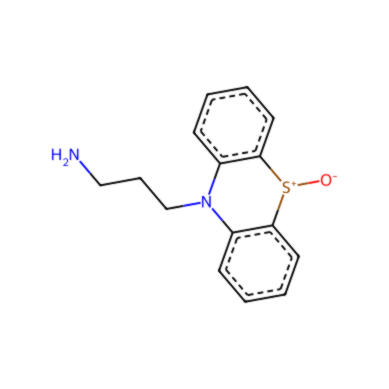 NCCCN1c2ccccc2[S+]([O-])c2ccccc21